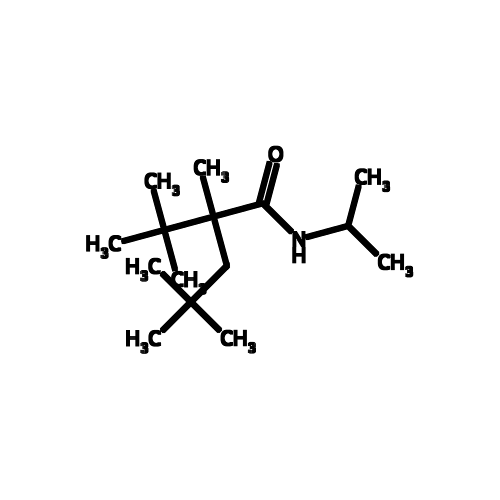 CC(C)NC(=O)C(C)(CC(C)(C)C)C(C)(C)C